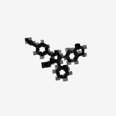 N#Cc1ccc(-c2nc(-c3ccc4c(c3)OCC4)c(-c3ccccn3)n2O)cc1